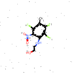 Cc1c(F)c(F)c(NCCO)c([N+](=O)[O-])c1F